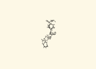 CN(C)C1(c2ccccc2)CCC2(CC1)CN(c1ccc(C(N)=O)nc1)C(=O)N2